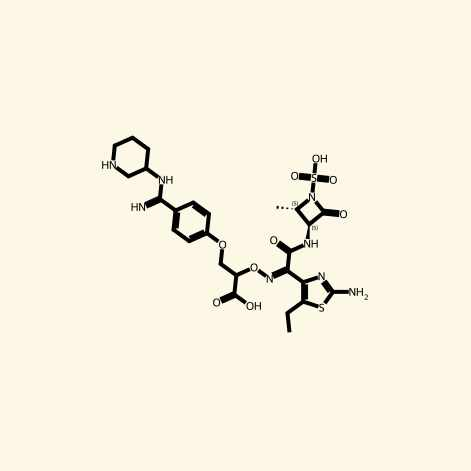 CCc1sc(N)nc1C(=NOC(COc1ccc(C(=N)NC2CCCNC2)cc1)C(=O)O)C(=O)N[C@@H]1C(=O)N(S(=O)(=O)O)[C@H]1C